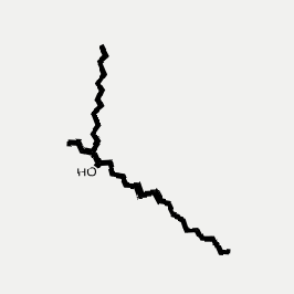 CCCCCCCCCCCCCCCCCC(O)C(CCC)CCCCCCCCCCCC